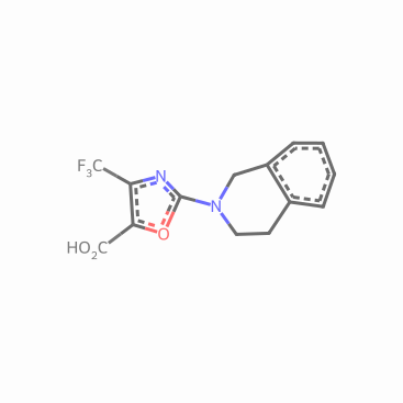 O=C(O)c1oc(N2CCc3ccccc3C2)nc1C(F)(F)F